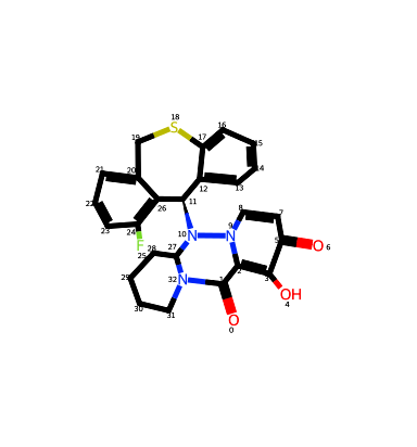 O=C1c2c(O)c(=O)ccn2N([C@@H]2c3ccccc3SCc3cccc(F)c32)C2CCCCN12